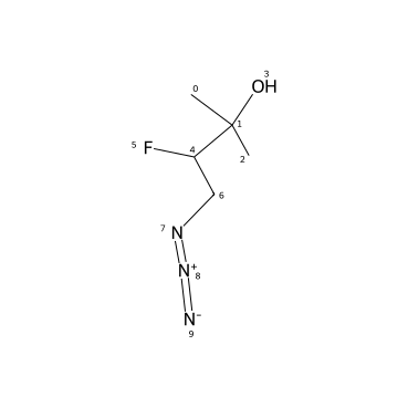 CC(C)(O)C(F)CN=[N+]=[N-]